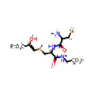 CCOC(=O)C(O)=CSCC(NC(=O)C(N)CS)C(=O)NCC(=O)O